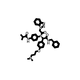 CC(C)C(=O)Nc1ccc(N(C(=O)Cn2nnc3ccccc32)C(C(=O)NCc2ccccc2)c2ccc(OCCCN(C)C)cc2)cc1